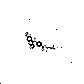 COc1ccc2c(Nc3ccc(C(C)=NOCCN(C)C)cc3)c3ccoc3nc2c1